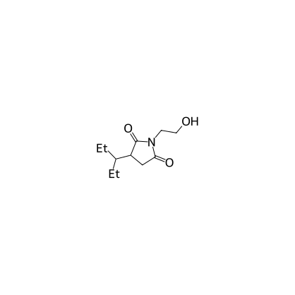 CCC(CC)C1CC(=O)N(CCO)C1=O